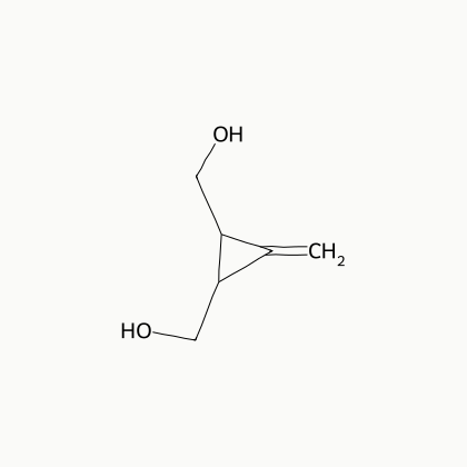 C=C1C(CO)C1CO